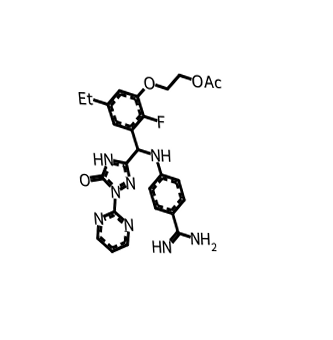 CCc1cc(OCCOC(C)=O)c(F)c(C(Nc2ccc(C(=N)N)cc2)c2nn(-c3ncccn3)c(=O)[nH]2)c1